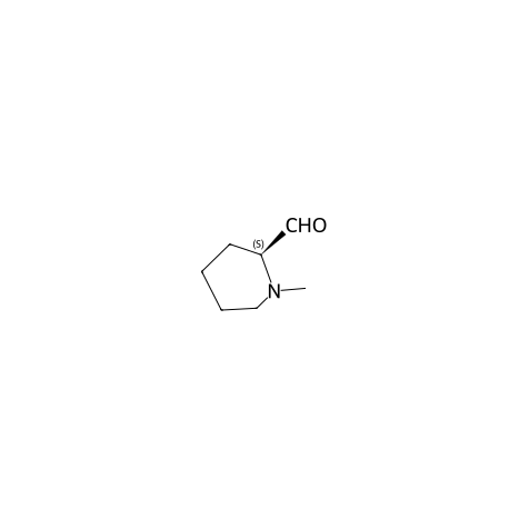 CN1CCCC[C@H]1C=O